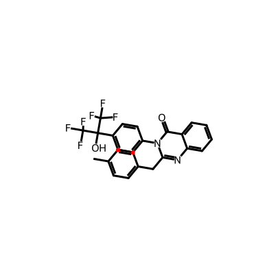 Cc1ccc(Cc2nc3ccccc3c(=O)n2-c2ccc(C(O)(C(F)(F)F)C(F)(F)F)cc2)cc1